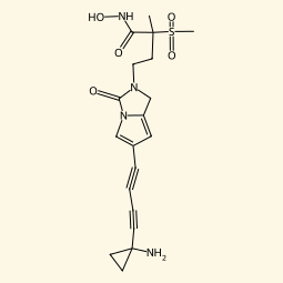 CC(CCN1Cc2cc(C#CC#CC3(N)CC3)cn2C1=O)(C(=O)NO)S(C)(=O)=O